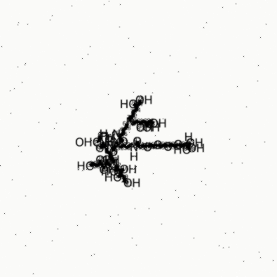 CC(C)C(C=O)NC(=O)C(CCCCN(CC(O)C(O)C(O)CCO)CC(O)C(O)C(O)CCO)NC(=O)[C@H](CCCCNC(=O)CCOCCOCCOCCOCC[PH](O)(O)O)NC(=O)C(N)CCCCN(CCCCC(O)CO)CC[C@@H](O)CC(O)CO